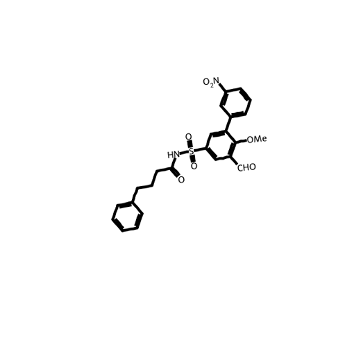 COc1c(C=O)cc(S(=O)(=O)NC(=O)CCCc2ccccc2)cc1-c1cccc([N+](=O)[O-])c1